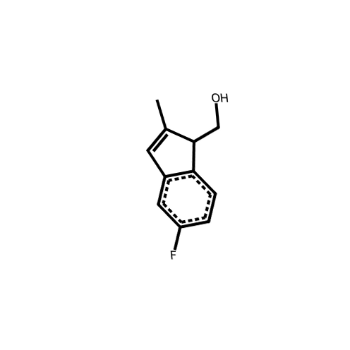 CC1=Cc2cc(F)ccc2C1CO